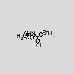 COc1ccc(C(c2ccc(Cl)cc2)c2c[nH]c3c(CS(C)(=O)=O)cccc23)cc1